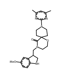 COc1ccc2c(c1)C(CN1CCOC3(CCN(c4nc(C)cc(C)n4)CC3)C1=O)CN2